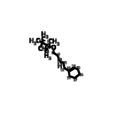 CC(C)(C)[Si](C)(C)OCCNCCC1=CCCCC1